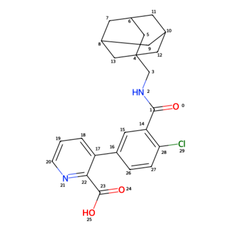 O=C(NCC12CC3CC(CC(C3)C1)C2)c1cc(-c2cccnc2C(=O)O)ccc1Cl